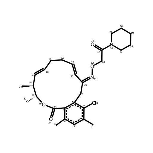 Cc1cc(C)c2c(c1Cl)CC(=N/OCC(=O)N1CCCCC1)/C=C/CC/C=C/[C@H](C)[C@@H](C)OC2=O